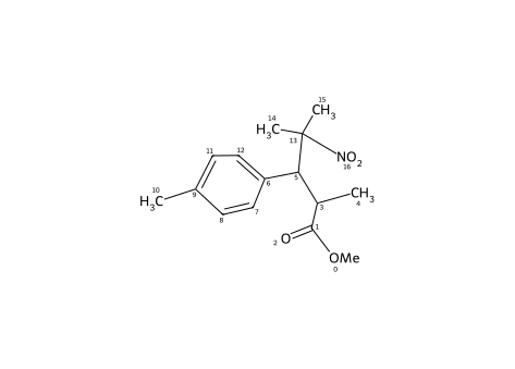 COC(=O)C(C)C(c1ccc(C)cc1)C(C)(C)[N+](=O)[O-]